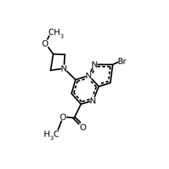 COC(=O)c1cc(N2CC(OC)C2)n2nc(Br)cc2n1